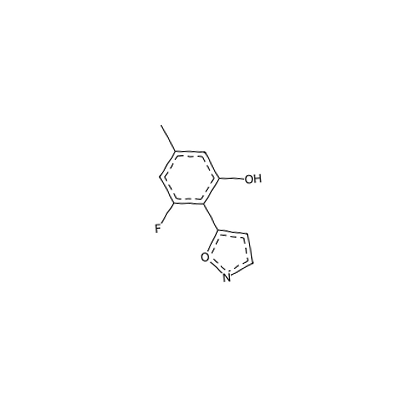 Cc1cc(O)c(-c2ccno2)c(F)c1